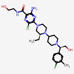 CC[C@H]1CN(c2nc(N)c(C(=O)NCCO)nc2Cl)CCN1C1CCN([C@@H](CO)c2ccc(F)c(C)c2)CC1